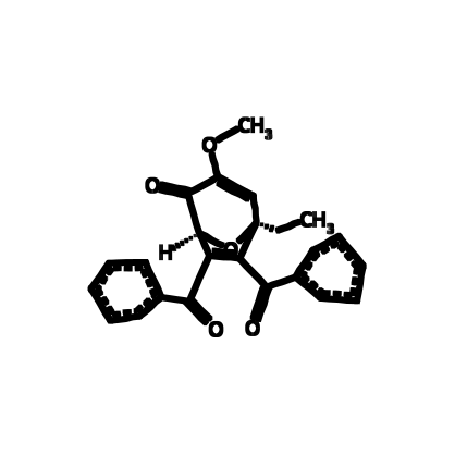 CC[C@@]12C=C(OC)C(=O)[C@@H](O1)C(C(=O)c1ccccc1)=C2C(=O)c1ccccc1